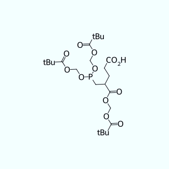 CC(C)(C)C(=O)OCOC(=O)C(CCC(=O)O)CP(OCOC(=O)C(C)(C)C)OCOC(=O)C(C)(C)C